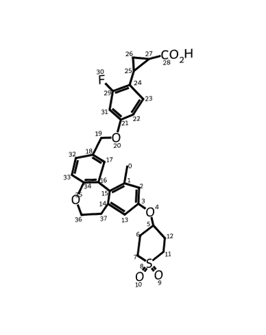 Cc1cc(OC2CCS(=O)(=O)CC2)cc2c1-c1cc(COc3ccc(C4CC4C(=O)O)c(F)c3)ccc1OCC2